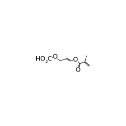 C=C(C)C(=O)OC=CCOC(=O)O